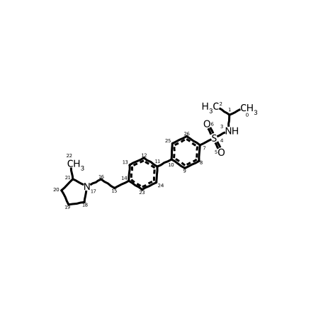 CC(C)NS(=O)(=O)c1ccc(-c2ccc(CCN3CCCC3C)cc2)cc1